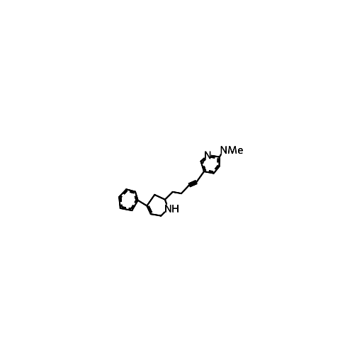 CNc1ccc(C#CCCC2CC(c3ccccc3)=CCN2)cn1